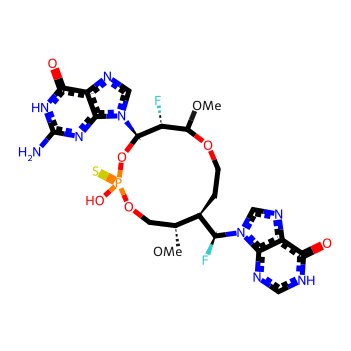 COC1OCC[C@@H]([C@H](F)n2cnc3c(=O)[nH]cnc32)[C@H](OC)COP(O)(=S)O[C@@H](n2cnc3c(=O)[nH]c(N)nc32)[C@@H]1F